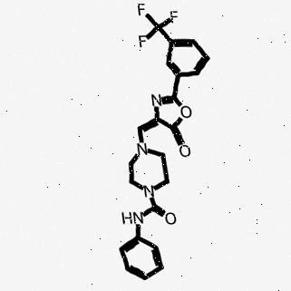 O=C1OC(c2cccc(C(F)(F)F)c2)=N/C1=C/N1CCN(C(=O)Nc2ccccc2)CC1